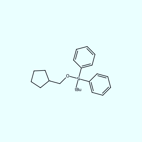 CC(C)(C)[Si](OC[C]1CCCC1)(c1ccccc1)c1ccccc1